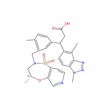 Cc1ccc(C(CC(=O)O)c2ccc3c(nnn3C)c2C)cc1CN1C[C@@H](C)Oc2cnccc2S1(=O)=O